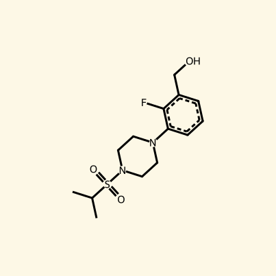 CC(C)S(=O)(=O)N1CCN(c2cccc(CO)c2F)CC1